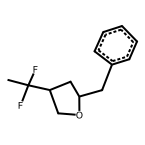 CC(F)(F)C1COC(Cc2ccccc2)C1